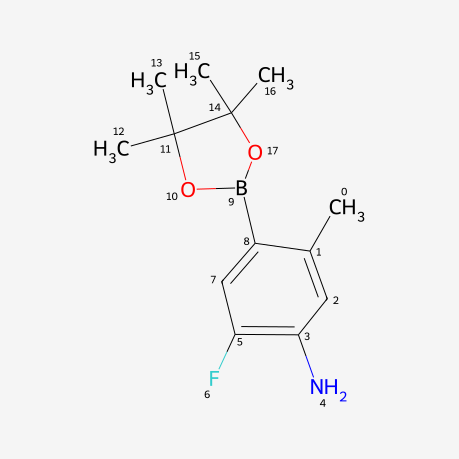 Cc1cc(N)c(F)cc1B1OC(C)(C)C(C)(C)O1